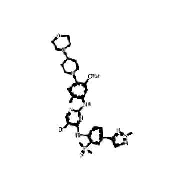 COc1cc(Nc2ncc(Br)c(Nc3ccc(-c4cnn(C)n4)cc3P(C)(C)=O)n2)c(C)cc1N1CCC(N2CCOCC2)CC1